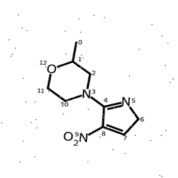 CC1CN(C2=NCC=C2[N+](=O)[O-])CCO1